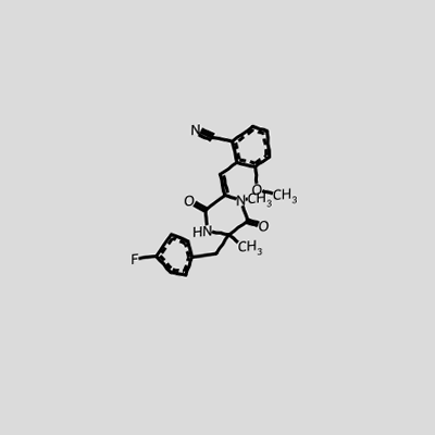 COc1cccc(C#N)c1C=C1C(=O)NC(C)(Cc2ccc(F)cc2)C(=O)N1C